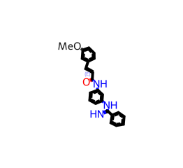 COc1cccc(/C=C/C(=O)Nc2cccc(NC(=N)c3ccccc3)c2)c1